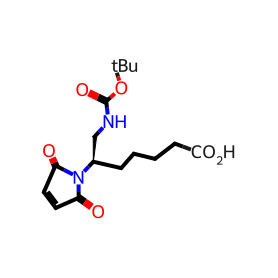 CC(C)(C)OC(=O)NC[C@@H](CCCCC(=O)O)N1C(=O)C=CC1=O